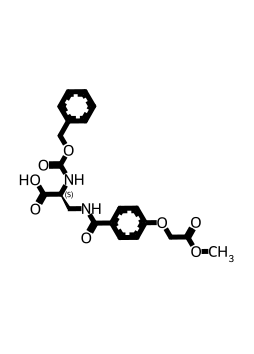 COC(=O)COc1ccc(C(=O)NC[C@H](NC(=O)OCc2ccccc2)C(=O)O)cc1